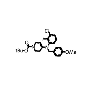 COc1ccc(CN(C2=CCN(C(=O)OC(C)(C)C)CC2)c2cccc(Cl)c2I)cc1